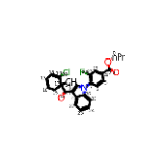 CCCOC(=O)c1ccc(-n2cc(C(=O)C3(C)CC=CC=C3Cl)c3ccccc32)c(F)c1